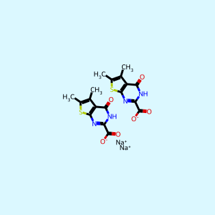 Cc1sc2nc(C(=O)[O-])[nH]c(=O)c2c1C.Cc1sc2nc(C(=O)[O-])[nH]c(=O)c2c1C.[Na+].[Na+]